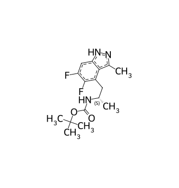 Cc1n[nH]c2cc(F)c(F)c(C[C@H](C)NC(=O)OC(C)(C)C)c12